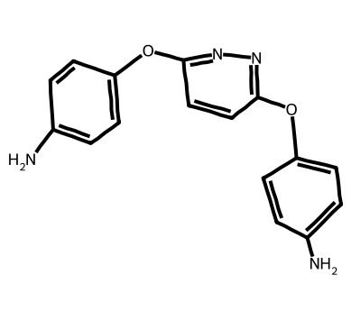 Nc1ccc(Oc2ccc(Oc3ccc(N)cc3)nn2)cc1